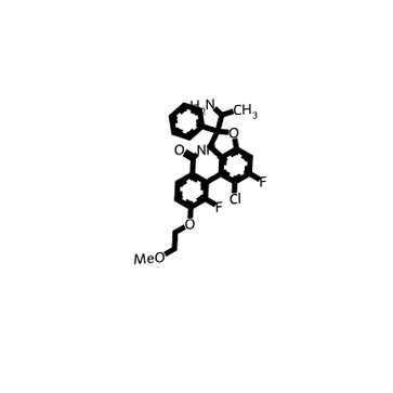 COCCOc1ccc(C(N)=O)c(-c2c(Cl)c(F)cc3c2CC(c2ccccc2)(C(C)N)O3)c1F